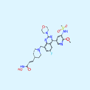 COc1ncc(-c2nc(N3CCOCC3)nc3c(CN4CCC(/C=C/C(=O)NO)CC4)cc(F)cc23)cc1NS(C)(=O)=O